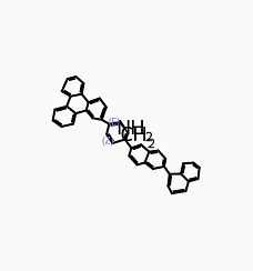 C=C(/C=C\C(=C/N)c1ccc2c3ccccc3c3ccccc3c2c1)c1ccc2cc(-c3cccc4ccccc34)ccc2c1